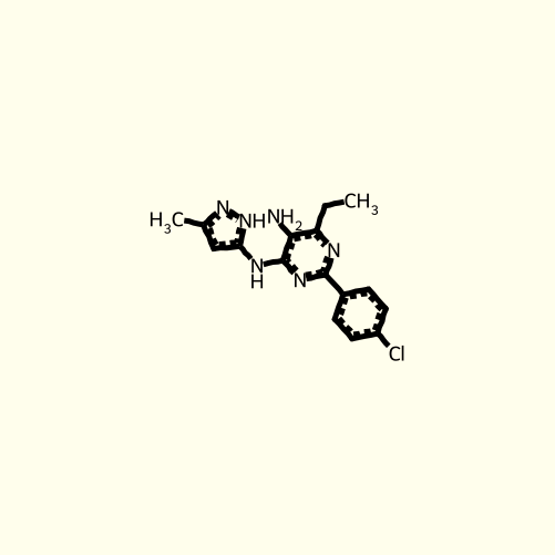 CCc1nc(-c2ccc(Cl)cc2)nc(Nc2cc(C)n[nH]2)c1N